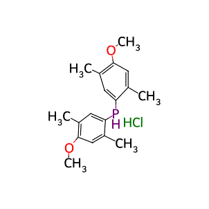 COc1cc(C)c(Pc2cc(C)c(OC)cc2C)cc1C.Cl